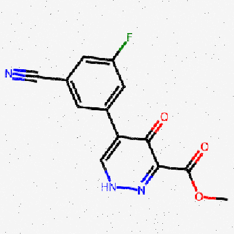 COC(=O)c1n[nH]cc(-c2cc(F)cc(C#N)c2)c1=O